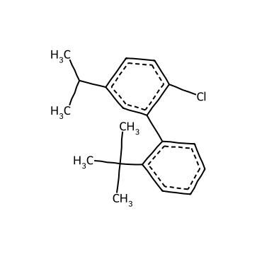 CC(C)c1ccc(Cl)c(-c2ccccc2C(C)(C)C)c1